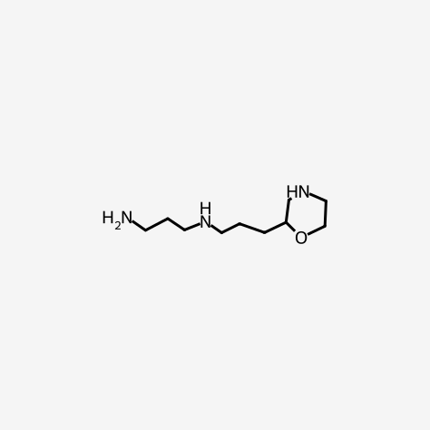 NCCCNCCCC1CNCCO1